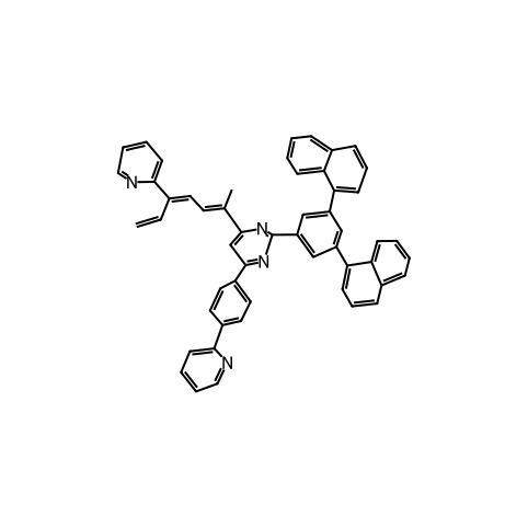 C=C/C(=C\C=C(/C)c1cc(-c2ccc(-c3ccccn3)cc2)nc(-c2cc(-c3cccc4ccccc34)cc(-c3cccc4ccccc34)c2)n1)c1ccccn1